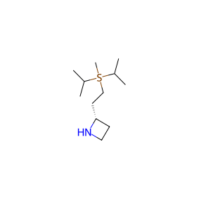 CC(C)S(C)(CC[C@@H]1CCN1)C(C)C